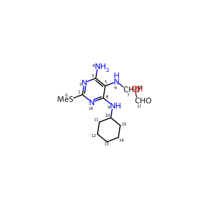 CSc1nc(N)c(NC=O)c(NC2CCCCC2)n1.O=CO